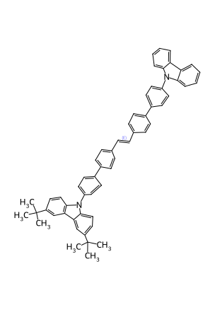 CC(C)(C)c1ccc2c(c1)c1cc(C(C)(C)C)ccc1n2-c1ccc(-c2ccc(/C=C/c3ccc(-c4ccc(-n5c6ccccc6c6ccccc65)cc4)cc3)cc2)cc1